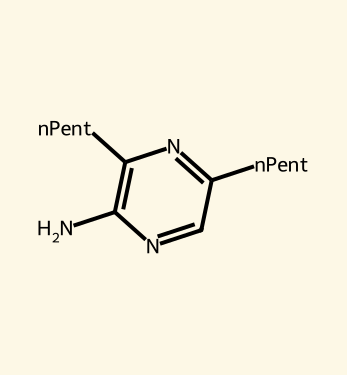 CCCCCc1cnc(N)c(CCCCC)n1